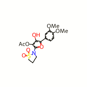 COc1ccc(-c2oc(N3CCCS3(=O)=O)c(OC(C)=O)c2O)cc1OC